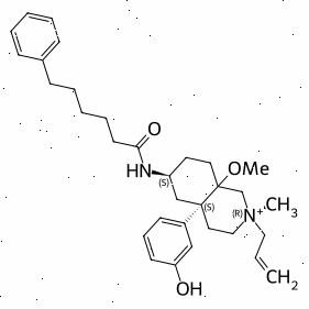 C=CC[N@@+]1(C)CC[C@@]2(c3cccc(O)c3)C[C@@H](NC(=O)CCCCCc3ccccc3)CCC2(OC)C1